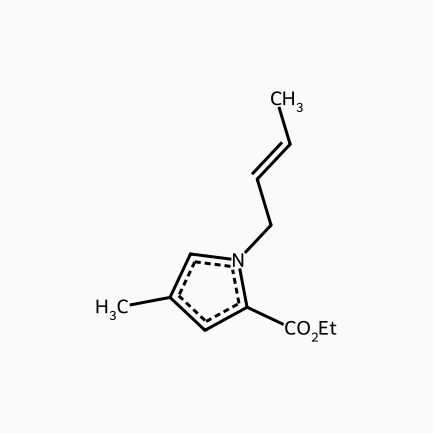 C/C=C/Cn1cc(C)cc1C(=O)OCC